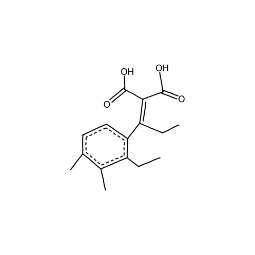 CCC(=C(C(=O)O)C(=O)O)c1ccc(C)c(C)c1CC